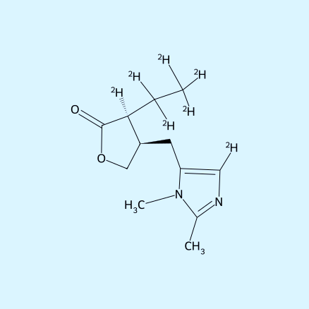 [2H]c1nc(C)n(C)c1C[C@H]1COC(=O)[C@@]1([2H])C([2H])([2H])C([2H])([2H])[2H]